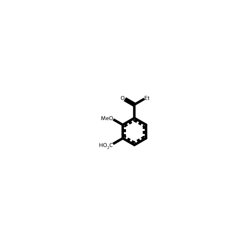 CCC(=O)c1cccc(C(=O)O)c1OC